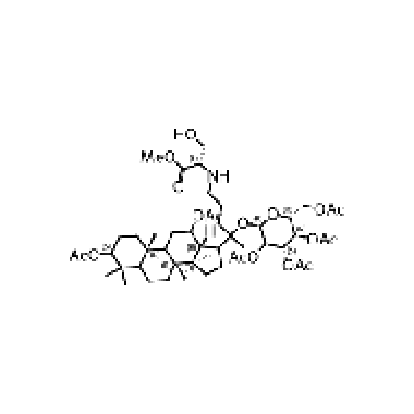 COC(=O)[C@H](CO)NCCCC(C)(O[C@H]1O[C@H](COC(C)=O)[C@@H](OC(C)=O)[C@H](OC(C)=O)C1OC(C)=O)C1CC[C@]2(C)[C@@H]1C(OC(C)=O)CC1[C@@]3(C)CC[C@H](OC(C)=O)C(C)(C)C3CC[C@]12C